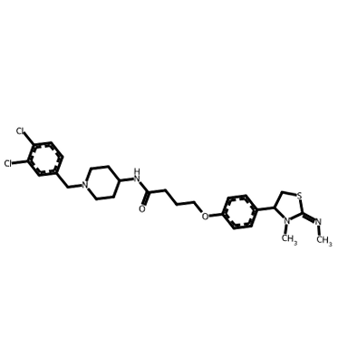 CN=C1SCC(c2ccc(OCCCC(=O)NC3CCN(Cc4ccc(Cl)c(Cl)c4)CC3)cc2)N1C